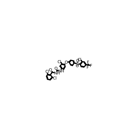 O=C(NC(=O)c1c(Cl)cccc1Cl)Nc1ccc(Oc2ccc(S(=O)(=O)c3ccc(C(F)(F)F)cc3Cl)cc2)c(Cl)c1